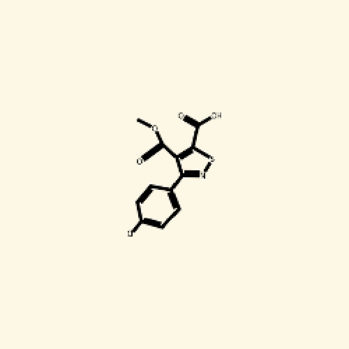 COC(=O)c1c(-c2ccc(Cl)cc2)nsc1C(=O)O